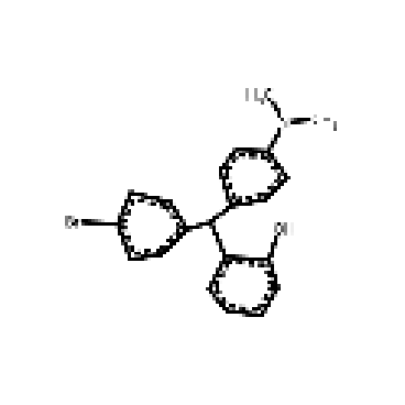 CN(C)c1ccc(C(c2ccc(Br)cc2)c2ccccc2O)cc1